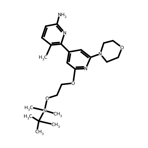 Cc1ccc(N)nc1-c1cc(OCCO[Si](C)(C)C(C)(C)C)nc(N2CCOCC2)c1